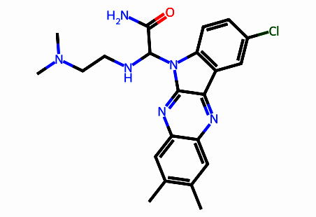 Cc1cc2nc3c4cc(Cl)ccc4n(C(NCCN(C)C)C(N)=O)c3nc2cc1C